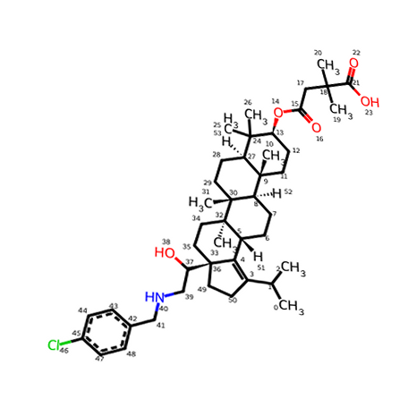 CC(C)C1=C2[C@H]3CC[C@@H]4[C@@]5(C)CC[C@H](OC(=O)CC(C)(C)C(=O)O)C(C)(C)[C@@H]5CC[C@@]4(C)[C@]3(C)CC[C@@]2(C(O)CNCc2ccc(Cl)cc2)CC1